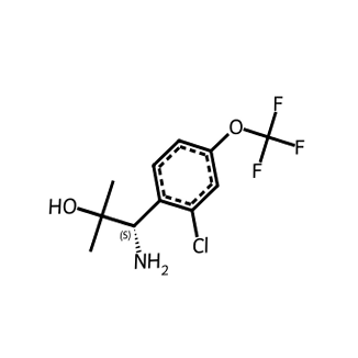 CC(C)(O)[C@@H](N)c1ccc(OC(F)(F)F)cc1Cl